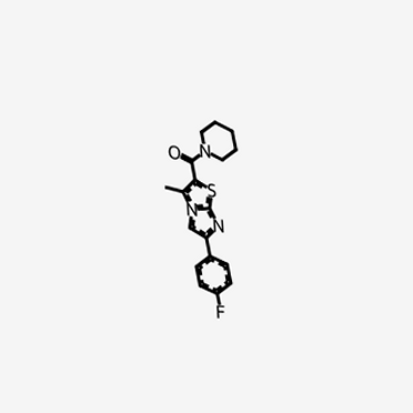 Cc1c(C(=O)N2CCCCC2)sc2nc(-c3ccc(F)cc3)cn12